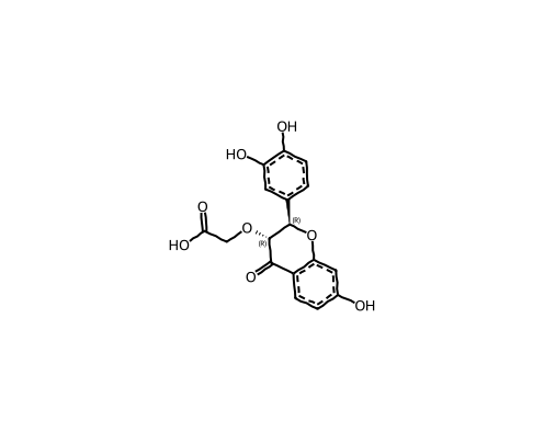 O=C(O)CO[C@H]1C(=O)c2ccc(O)cc2O[C@@H]1c1ccc(O)c(O)c1